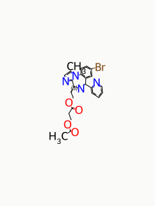 CC(=O)OCCC(=O)OCC[C@@H]1N=C(c2ccccn2)c2cc(Br)ccc2-n2c(C)cnc21